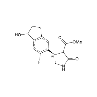 COC(=O)C1C(=O)NC[C@H]1c1cc2c(cc1F)C(O)CC2